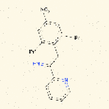 CC(C)c1cc([N+](=O)[O-])cc(C(C)C)c1CC(=N)c1ccccn1